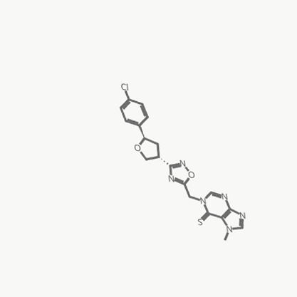 Cn1cnc2ncn(Cc3nc([C@@H]4CO[C@@H](c5ccc(Cl)cc5)C4)no3)c(=S)c21